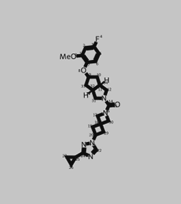 COc1cc(F)ccc1OC1C[C@@H]2CN(C(=O)N3CC4(CC(n5cnc(C6CC6)n5)C4)C3)C[C@@H]2C1